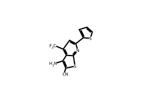 N#Cc1sc2nc(-c3cccs3)cc(C(F)(F)F)c2c1N